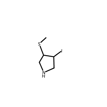 CSC1CNCC1I